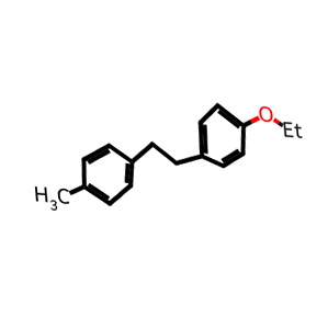 CCOc1ccc(CCc2ccc(C)cc2)cc1